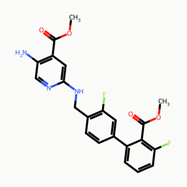 COC(=O)c1cc(NCc2ccc(-c3cccc(F)c3C(=O)OC)cc2F)ncc1N